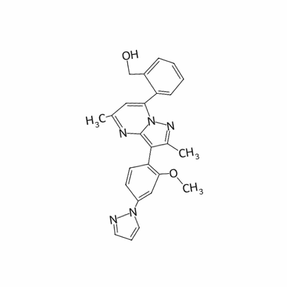 COc1cc(-n2cccn2)ccc1-c1c(C)nn2c(-c3ccccc3CO)cc(C)nc12